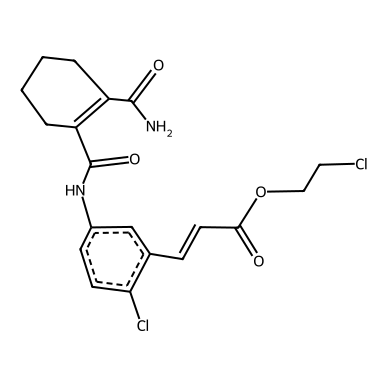 NC(=O)C1=C(C(=O)Nc2ccc(Cl)c(C=CC(=O)OCCCl)c2)CCCC1